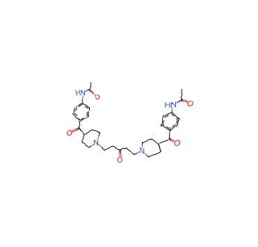 CC(=O)Nc1ccc(C(=O)C2CCN(CCC(=O)CCN3CCC(C(=O)c4ccc(NC(C)=O)cc4)CC3)CC2)cc1